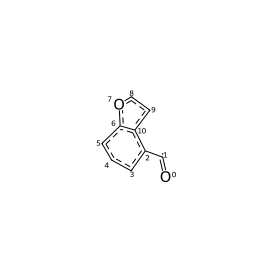 O=[C]c1cccc2occc12